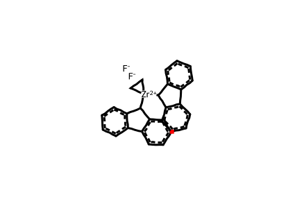 [F-].[F-].c1ccc2c(c1)-c1ccccc1[CH]2[Zr+2]1([CH]2c3ccccc3-c3ccccc32)[CH2][CH2]1